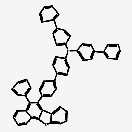 c1ccc(-c2ccc(N(c3ccc(-c4ccccc4)cc3)c3ccc(-c4ccc(-c5c(-c6ccccc6)c6ccccc6c6sc7ccccc7c56)cc4)cc3)cc2)cc1